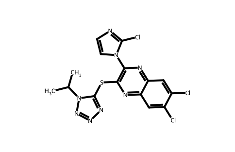 CC(C)n1nnnc1Sc1nc2cc(Cl)c(Cl)cc2nc1-n1ccnc1Cl